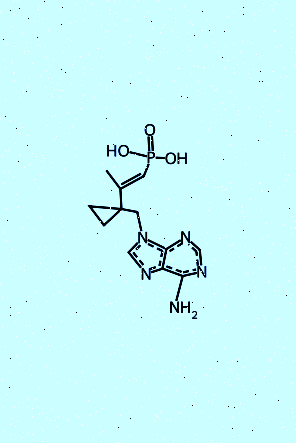 CC(=CP(=O)(O)O)C1(Cn2cnc3c(N)ncnc32)CC1